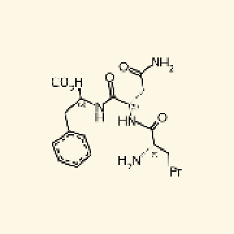 CC(C)C[C@H](N)C(=O)N[C@@H](CC(N)=O)C(=O)N[C@@H](Cc1ccccc1)C(=O)O